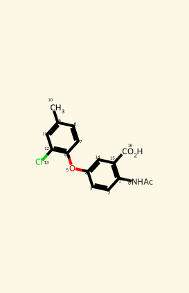 CC(=O)Nc1ccc(Oc2ccc(C)cc2Cl)cc1C(=O)O